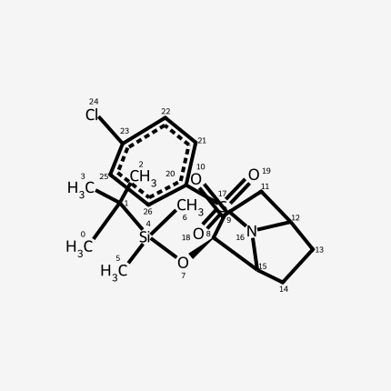 CC(C)(C)[Si](C)(C)O[C@H]1C(=O)CC2CCC1N2S(=O)(=O)c1ccc(Cl)cc1